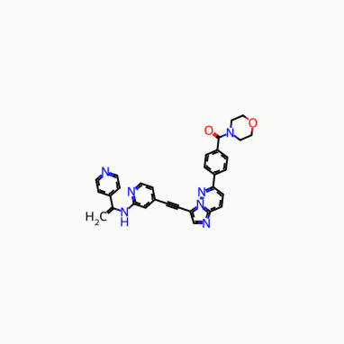 C=C(Nc1cc(C#Cc2cnc3ccc(-c4ccc(C(=O)N5CCOCC5)cc4)nn23)ccn1)c1ccncc1